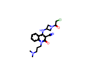 CN(C)CCCn1c(=O)c(C#N)c(NC2CN(C(=O)CCl)C2)c2ccccc21